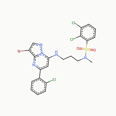 CN(CCCNc1cc(-c2ccccc2Cl)nc2c(Br)cnn12)S(=O)(=O)c1cccc(Cl)c1Cl